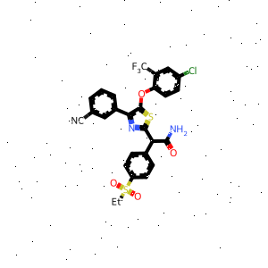 CCS(=O)(=O)c1ccc(C(C(N)=O)c2nc(-c3cccc(C#N)c3)c(Oc3ccc(Cl)cc3C(F)(F)F)s2)cc1